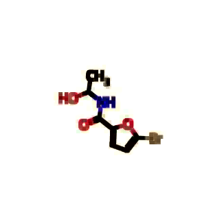 CC(O)NC(=O)c1ccc(Br)o1